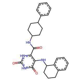 O=C(NC1CCC(c2ccccc2)CC1)c1[nH]c(=O)[nH]c(=O)c1NC1CCCc2ccccc21